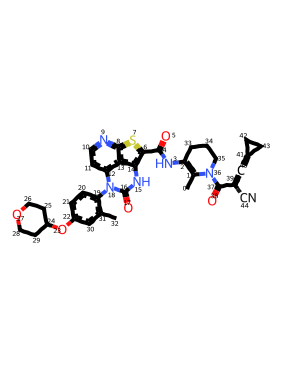 CC1=C(NC(=O)c2sc3nccc4c3c2NC(=O)N4c2ccc(OC3CCOCC3)cc2C)CCCN1C(=O)C(=C=C1CC1)C#N